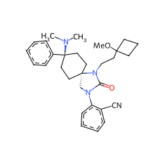 COC1(CCN2C(=O)N(c3ccccc3C#N)C[C@]23CC[C@](c2ccccc2)(N(C)C)CC3)CCC1